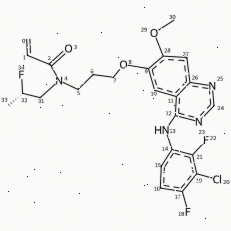 C=CC(=O)N(CCCOc1cc2c(Nc3ccc(F)c(Cl)c3F)ncnc2cc1OC)C[C@H](C)F